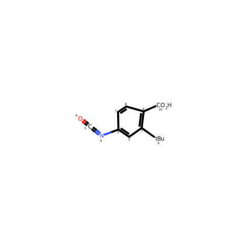 CC(C)(C)c1cc(N=C=O)ccc1C(=O)O